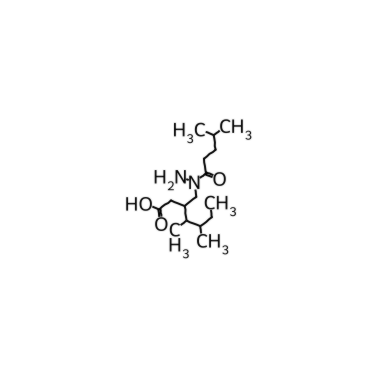 CCC(C)C(C)C(CC(=O)O)CN(N)C(=O)CCC(C)C